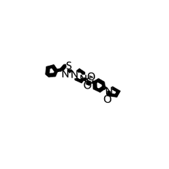 O=C1CCCN1c1ccc(S(=O)(=O)N2CCN(c3nc(-c4ccccc4)cs3)CC2)cc1